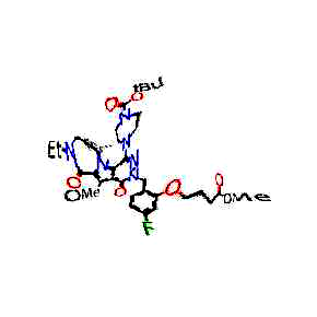 CCN1C[C@H](C)n2c(c(OC)c3c(=O)n(Cc4ccc(F)cc4OCCCC(=O)OC)nc(N4CCN(C(=O)OC(C)(C)C)CC4)c32)C1=O